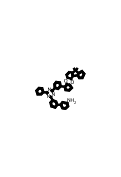 CC1(C)C2=C(c3ccccc31)C1Oc3cccc(-c4cccc(-c5nc(-c6ccccc6)nc(-c6cccc(-c7cccc(N)c7)c6)n5)c4)c3OC1C=C2